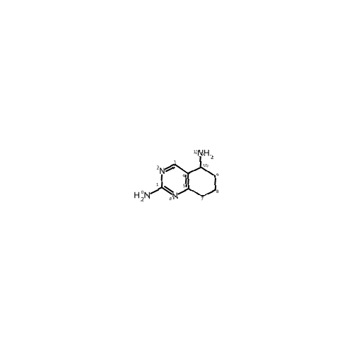 Nc1ncc2c(n1)CCCC2N